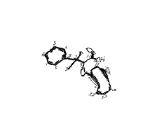 CC(C)(c1ccccc1)C(Oc1ccccc1)C(=O)O